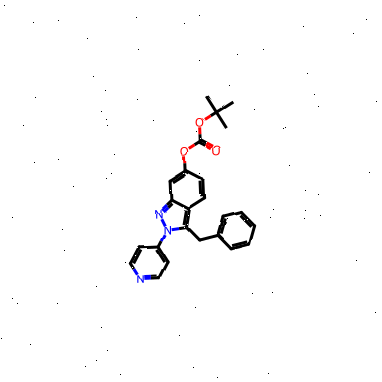 CC(C)(C)OC(=O)Oc1ccc2c(Cc3ccccc3)n(-c3ccncc3)nc2c1